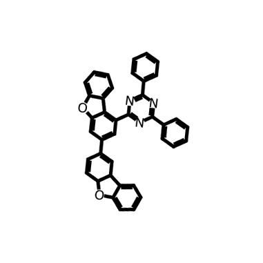 C1=CC2Oc3ccccc3C2C=C1c1cc(-c2nc(-c3ccccc3)nc(-c3ccccc3)n2)c2c(c1)oc1ccccc12